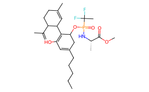 C=C(C)C1CCC(C)=CC1C1=C(O)C=C(CCCCC)CC1OP(=O)(N[C@@H](C)C(=O)OC)C(C)(F)F